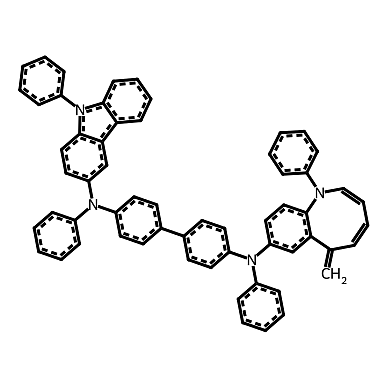 C=C1/C=C\C=C/N(c2ccccc2)c2ccc(N(c3ccccc3)c3ccc(-c4ccc(N(c5ccccc5)c5ccc6c(c5)c5ccccc5n6-c5ccccc5)cc4)cc3)cc21